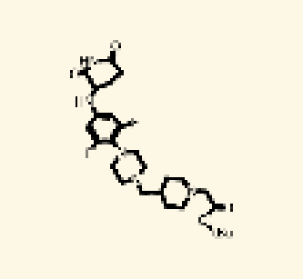 CC(C)(C)OC(=O)CN1CCC(CN2CCN(c3c(F)cc(NC4CCC(=O)NC4=O)cc3F)CC2)CC1